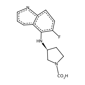 O=C(O)N1CC[C@H](Nc2c(F)ccc3ncccc23)C1